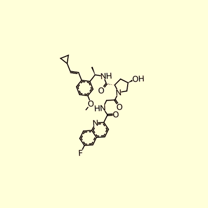 COc1ccc(/C=C/C2CC2)c([C@@H](C)NC(=O)[C@@H]2C[C@@H](O)CN2C(=O)CNC(=O)c2ccc3cc(F)ccc3n2)c1